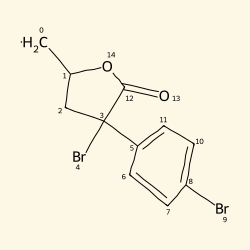 [CH2]C1CC(Br)(c2ccc(Br)cc2)C(=O)O1